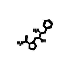 NC(=O)[C@@H]1CCCN1C[C@H](O)[C@H](N)Cc1ccccc1